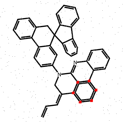 C=C/C=C(\CN(c1ccc2c(c1)C1(Cc3ccccc3-2)c2ccccc2-c2ccccc21)c1nc2ccccc2c2ccccc12)c1ccccc1